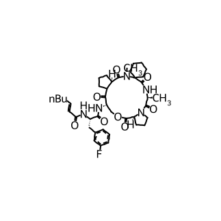 CCCC/C=C/C(=O)N[C@@H](Cc1cccc(F)c1)C(=O)N[C@H]1COC(=O)[C@@H]2CCCN2C(=O)[C@H](C)NC(=O)C2(CCCCC2)N(C)C(=O)[C@@H]2CCCC2C1=O